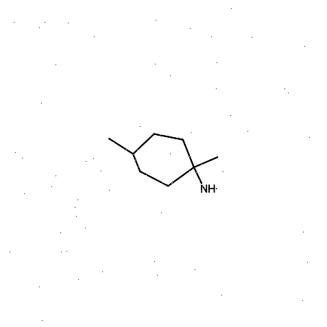 CC1CCC(C)([NH])CC1